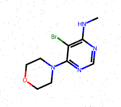 CNc1ncnc(N2CCOCC2)c1Br